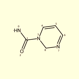 [NH]C(=O)N1C=CC=NC1